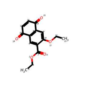 CCOC(=O)c1cc2c(cc1OCC)C(=O)C=CC2=O